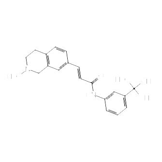 CN1CCc2ccc(C=CC(=O)Nc3cccc(C(C)(C)C)c3)cc2C1